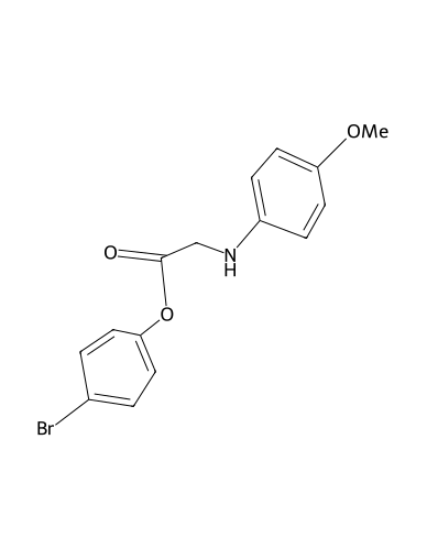 COc1ccc(NCC(=O)Oc2ccc(Br)cc2)cc1